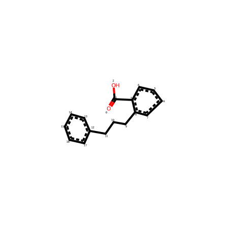 O=C(O)c1ccccc1CCCc1ccccc1